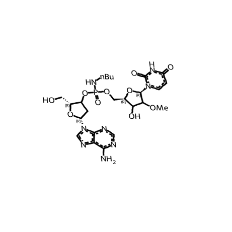 CCCCNP(=O)(OC[C@H]1O[C@@H](n2ccc(=O)[nH]c2=O)C(OC)C1O)OC1C[C@H](n2cnc3c(N)ncnc32)O[C@@H]1CO